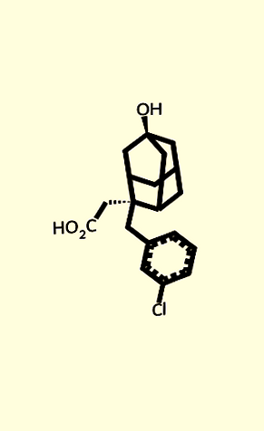 O=C(O)C[C@]1(Cc2cccc(Cl)c2)C2CC3CC1C[C@@](O)(C3)C2